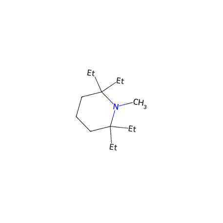 CCC1(CC)CCCC(CC)(CC)N1C